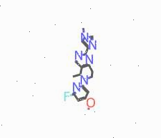 COc1cc(F)nc(N2CCc3nc(-c4cn(C)cn4)ncc3C2C)c1